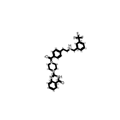 O=C(c1ccc(CCNCc2cccc(C(F)(F)F)c2)cc1)N1CCN(c2nc3ccccc3c(=O)[nH]2)CC1